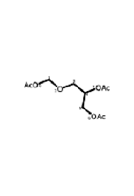 CC(=O)OCOCC(COC(C)=O)OC(C)=O